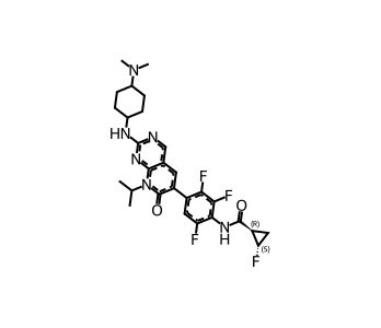 CC(C)n1c(=O)c(-c2cc(F)c(NC(=O)[C@H]3C[C@@H]3F)c(F)c2F)cc2cnc(NC3CCC(N(C)C)CC3)nc21